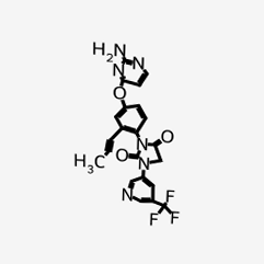 CC#Cc1cc(Oc2ccnc(N)n2)ccc1N1C(=O)CN(c2cncc(C(F)(F)F)c2)C1=O